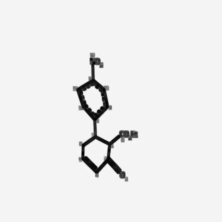 CCOC(=O)C1C(=O)C=CCC1c1ccc([N+](=O)[O-])cc1